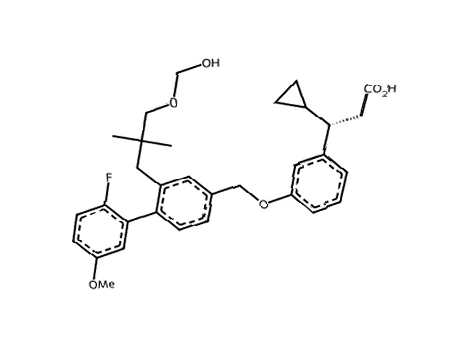 COc1ccc(F)c(-c2ccc(COc3cccc([C@@H](CC(=O)O)C4CC4)c3)cc2CC(C)(C)COCO)c1